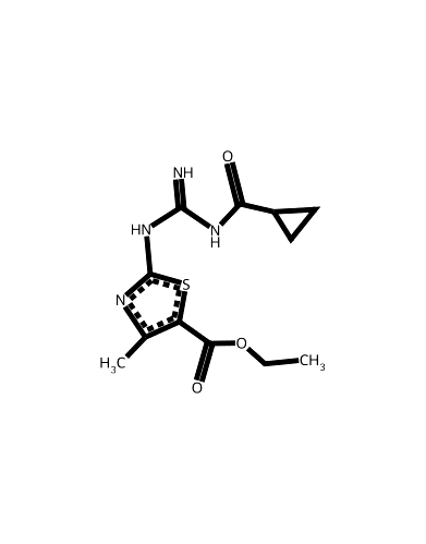 CCOC(=O)c1sc(NC(=N)NC(=O)C2CC2)nc1C